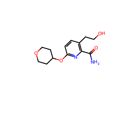 NC(=O)c1nc(OC2CCOCC2)ccc1[CH]CO